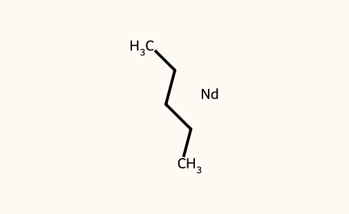 CCCCC.[Nd]